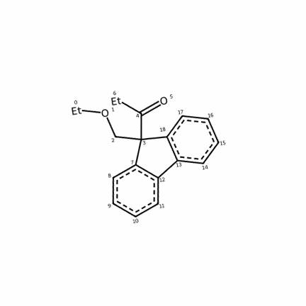 CCOCC1(C(=O)CC)c2ccccc2-c2ccccc21